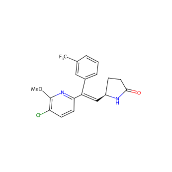 COc1nc(C(=C[C@H]2CCC(=O)N2)c2cccc(C(F)(F)F)c2)ccc1Cl